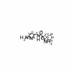 NC(=O)C1(C[CH]C(=O)NCc2ccc(N)nc2)CCCCC1